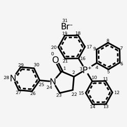 O=C1C([P+](c2ccccc2)(c2ccccc2)c2ccccc2)CCN1c1ccncc1.[Br-]